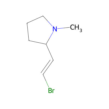 CN1CCCC1C=CBr